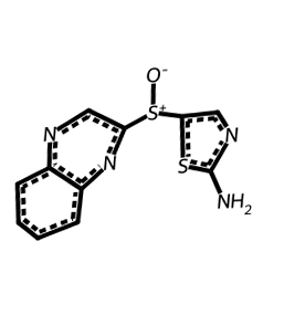 Nc1ncc([S+]([O-])c2cnc3ccccc3n2)s1